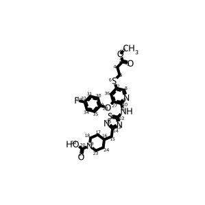 COC(=O)CCSc1cnc(Nc2nc(CC3CCN(C(=O)O)CC3)ns2)c(Oc2ccc(F)cc2)c1